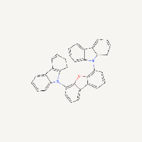 C1=Cc2c(n(-c3cccc4c3oc3c(-n5c6ccccc6c6ccccc65)cccc34)c3ccccc23)CC1